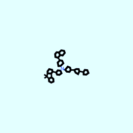 CC1(C)c2ccccc2-c2c(-c3cccc(N(c4ccc(-c5ccc(-c6ccccc6)cc5)cc4)c4ccc(-c5cccc6ccccc56)cc4)c3)cccc21